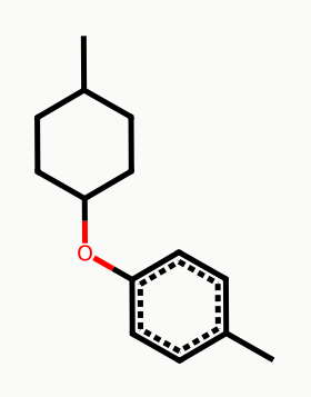 Cc1ccc(OC2CCC(C)CC2)cc1